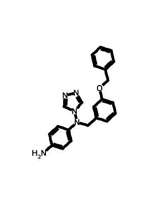 Nc1ccc(N(Cc2cccc(OCc3ccccc3)c2)n2cnnc2)cc1